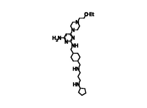 CCOCCN1CCN(c2cc(N)nc(NCC3CCC(CNCCCNC4CCCC4)CC3)n2)CC1